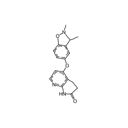 CC1c2cc(Oc3ccnc4c3CCC(=O)N4)ccc2ON1C